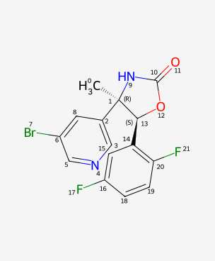 C[C@]1(c2cncc(Br)c2)NC(=O)O[C@H]1c1cc(F)ccc1F